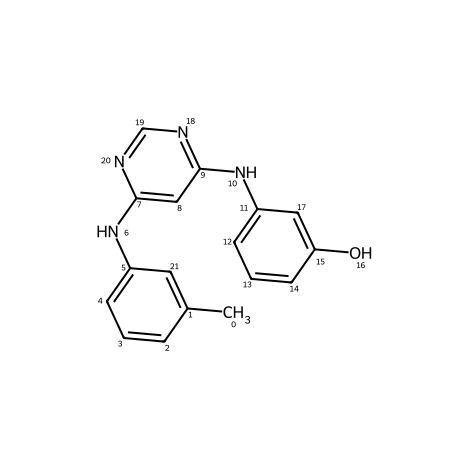 Cc1cccc(Nc2cc(Nc3cccc(O)c3)ncn2)c1